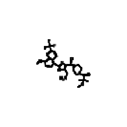 COc1ccc(-c2nc(C(=O)N3CCN(C(=O)C(C)(C)OC)CC3)c(CN)o2)c2ccc(C(F)(F)F)nc12